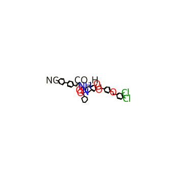 N#Cc1ccc(-c2ccc(C[C@H](NC(=O)[C@@H]3Cc4cc5c(cc4CN3C(=O)C3CCCCC3)OC(c3ccc(OCc4ccc(Cl)c(Cl)c4)cc3)CO5)C(=O)O)cc2)cc1